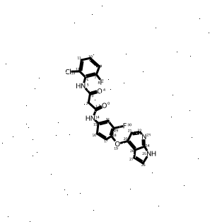 O=C(CC(=O)Nc1c(F)cccc1Cl)Nc1ccc(Oc2ccnc3[nH]ccc23)c(F)c1